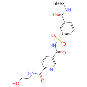 CCCCCCNC(=O)c1cccc(S(=O)(=O)NC(=O)c2ccc(C(=O)NCCO)nc2)c1